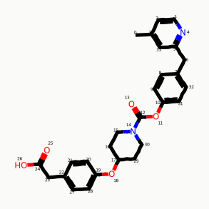 Cc1ccnc(Cc2ccc(OC(=O)N3CCC(Oc4ccc(CC(=O)O)cc4)CC3)cc2)c1